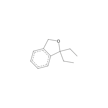 CCC1(CC)OCc2ccccc21